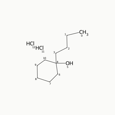 CCCCC1(O)CCCCC1.Cl.Cl